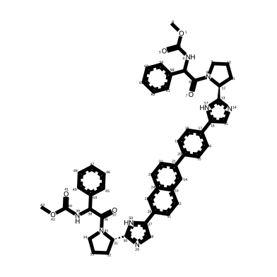 COC(=O)NC(C(=O)N1CCC[C@H]1c1ncc(-c2ccc(-c3ccc4cc(-c5cnc([C@@H]6CCCN6C(=O)C(NC(=O)OC)c6ccccc6)[nH]5)ccc4c3)cc2)[nH]1)c1ccccc1